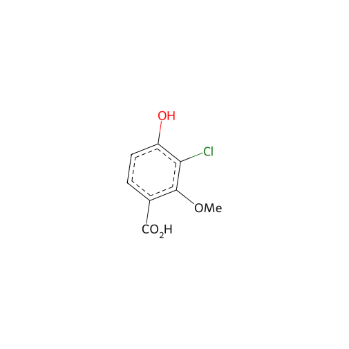 COc1c(C(=O)O)ccc(O)c1Cl